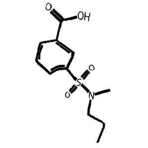 CCCN(C)S(=O)(=O)c1cccc(C(=O)O)c1